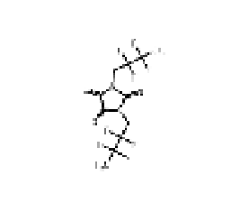 O=C1C(=O)N(CC(F)(F)C(F)(F)C(F)(F)F)C(=S)N1CC(F)(F)C(F)(F)C(F)(F)F